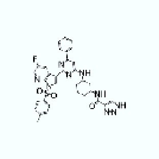 Cc1ccc(S(=O)(=O)n2cc(-c3nc(N[C@@H]4CCC[C@H](NC(=O)c5c[nH]nn5)C4)cc(-c4ccccc4)n3)c3cc(F)cnc32)cc1